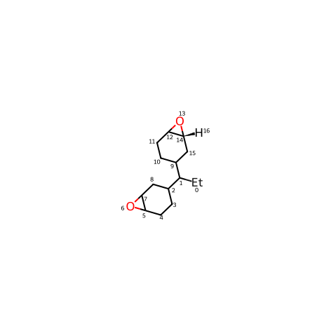 CCC(C1CCC2OC2C1)C1CCC2O[C@@H]2C1